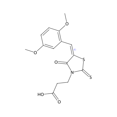 COc1ccc(OC)c(/C=C2/SC(=S)N(CCC(=O)O)C2=O)c1